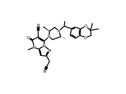 CC(c1ccc2c(c1)OC(C)(C)CO2)N1C[C@H](C)N(c2c(C#N)c(=O)n(C)c3cc(CC#N)nn23)C[C@H]1C